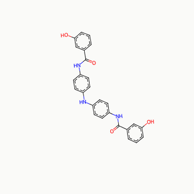 O=C(Nc1ccc(Nc2ccc(NC(=O)c3cccc(O)c3)cc2)cc1)c1cccc(O)c1